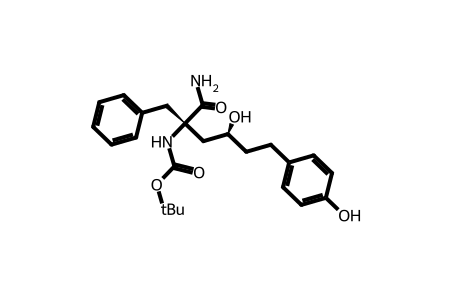 CC(C)(C)OC(=O)N[C@@](Cc1ccccc1)(C[C@@H](O)CCc1ccc(O)cc1)C(N)=O